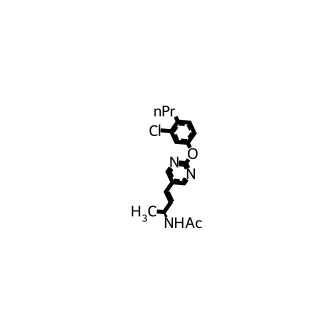 CCCc1ccc(Oc2ncc(/C=C/[C@H](C)NC(C)=O)cn2)cc1Cl